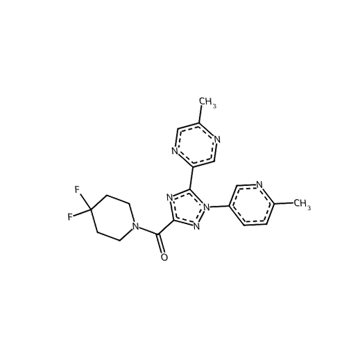 Cc1ccc(-n2nc(C(=O)N3CCC(F)(F)CC3)nc2-c2cnc(C)cn2)cn1